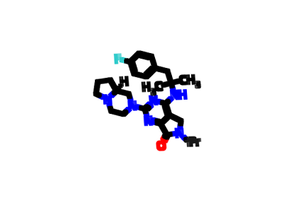 CC(C)N1Cc2c(NC(C)(C)Cc3ccc(F)cc3)nc(N3CCN4CCC[C@H]4C3)nc2C1=O